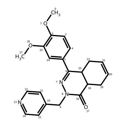 COc1ccc(C2=NN(Cc3ccncc3)C(=O)C3CC=CCC23)cc1OC